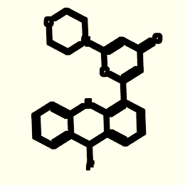 O=c1cc(-c2cccc3c2Sc2ccccc2C3F)oc(N2CCOCC2)c1